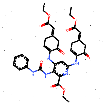 CCOC(=O)C=C1CC=C(Nc2cc(NC3=CCC(=CC(=O)OCC)CC3=O)c(NC(=O)Nc3ccccc3)c(C(=O)OCC)n2)C(=O)C1